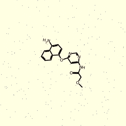 COCC(=O)Nc1cc(Oc2ccc(N)c3ccccc23)ncn1